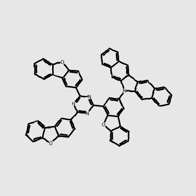 c1ccc2cc3c(cc2c1)c1cc2ccccc2cc1n3-c1cc(-c2nc(-c3ccc4oc5ccccc5c4c3)nc(-c3ccc4oc5ccccc5c4c3)n2)c2oc3ccccc3c2c1